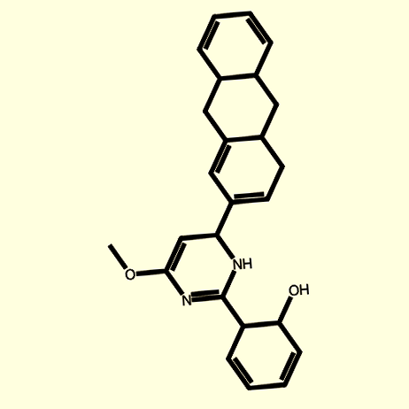 COC1=CC(C2=CCC3CC4C=CC=CC4CC3=C2)NC(C2C=CC=CC2O)=N1